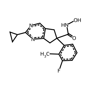 Cc1c(F)cccc1C1(C(=O)NO)Cc2cnc(C3CC3)nc2C1